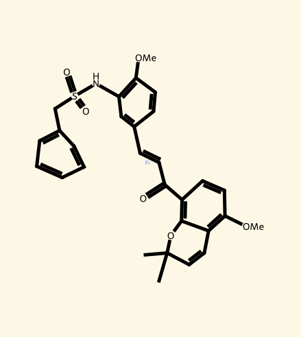 COc1ccc(/C=C/C(=O)c2ccc(OC)c3c2OC(C)(C)C=C3)cc1NS(=O)(=O)Cc1ccccc1